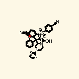 CCOc1ccccc1C1(C2CN(c3nccs3)CCN2C(=O)O)C(=O)N(S(=O)(=O)c2ccc(C#N)cc2)c2ccc(C#N)cc21